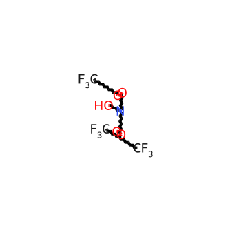 O=C(CCCCCN(CCCCO)CCCCCCCC(=O)OC(CCCCCCCC(F)(F)F)CCCCCC(F)(F)F)OCCCCCCCCCCC(F)(F)F